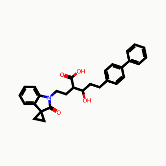 O=C(O)C(CCN1C(=O)C2([CH]C2)c2ccccc21)C(O)CCc1ccc(-c2ccccc2)cc1